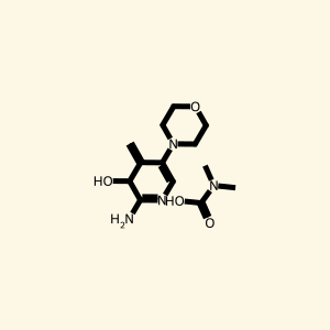 C=C1C(N2CCOCC2)=CN=C(N)C1O.CN(C)C(=O)O